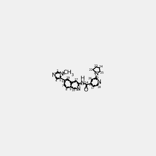 Cn1cncc1-c1ccc2cnc(NC(=O)c3ccnc(N4CCCC4)c3)cc2c1